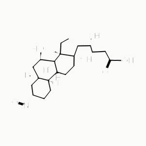 C[C@H](CCC(=O)O)[C@H]1CC[C@H]2[C@@H]3[C@H](O)C[C@@H]4C[C@@H](N=O)CC[C@]4(C)[C@H]3CC[C@]12C